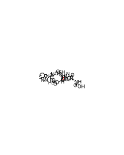 O=C(CO)NCCn1cnc2c(ncn2[C@@H]2O[C@@H]3COP(=O)(S)O[C@H]4C[C@H](n5cc6c7c(ncnc75)SCCC6)O[C@@H]4COP(=O)(S)O[C@@H]2[C@@H]3O)c1=O